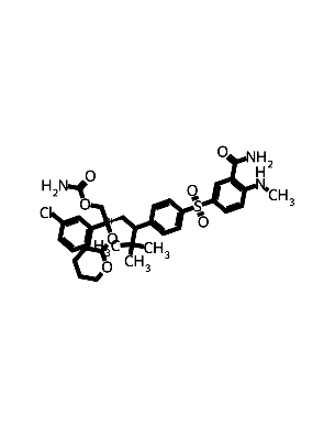 CNc1ccc(S(=O)(=O)c2ccc(C(C[C@@](COC(N)=O)(OC3CCCCO3)c3cccc(Cl)c3)C(C)(C)C)cc2)cc1C(N)=O